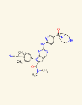 CN(C)C(=O)c1cc2cnc(Nc3ccc(C(=O)N4C5CCC4CNC5)cn3)nc2n1-c1ccc(C(C)(C)C#N)cc1